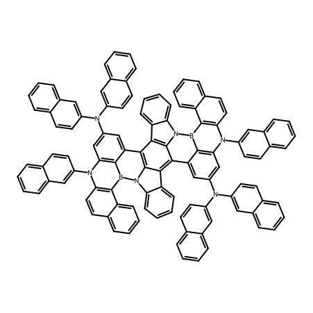 c1ccc2cc(N(c3cc4c5c(c3)N(c3ccc6ccccc6c3)c3ccc6ccccc6c3B5n3c5ccccc5c5c6c7c(c-4c53)c3ccccc3n7B3c4c-6cc(N(c5ccc6ccccc6c5)c5ccc6ccccc6c5)cc4N(c4ccc5ccccc5c4)c4ccc5ccccc5c43)c3ccc4ccccc4c3)ccc2c1